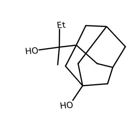 CCC(C)(O)C12CC3CC(CC(O)(C3)C1)C2